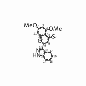 COc1cc(OC)c2c(=S)cc(-c3n[nH]c4ccccc34)oc2c1